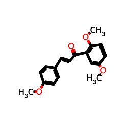 COc1ccc(C=CC(=O)c2cc(OC)ccc2OC)cc1